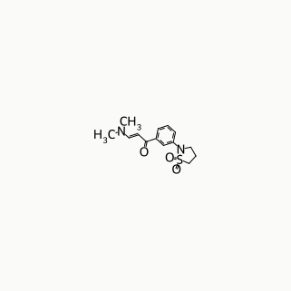 CN(C)/C=C/C(=O)c1cccc(N2CCCS2(=O)=O)c1